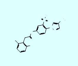 COc1cccc(Cl)c1CC(=O)Nc1ccc(-n2cc(C#N)cn2)c(S(N)(=O)=O)c1